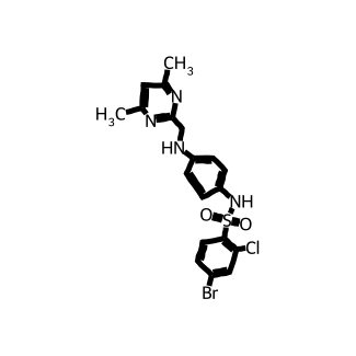 Cc1cc(C)nc(CNc2ccc(NS(=O)(=O)c3ccc(Br)cc3Cl)cc2)n1